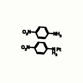 Nc1ccc([N+](=O)[O-])cc1.Nc1ccc([N+](=O)[O-])cc1.[Pt]